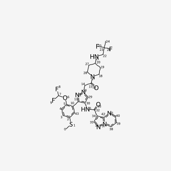 CSc1ccc(OC(F)F)c(-c2nn(CC(=O)N3CCC(NCC(C)(F)F)CC3)cc2NC(=O)c2cnn3cccnc23)c1